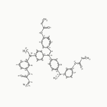 C=CC(=O)Oc1ccc(CN(c2ccc(N(C)c3cccc(OC(=O)C=C)c3)cc2)c2ccc(N(C)c3cccc(OC(=O)C=C)c3)cc2)cc1